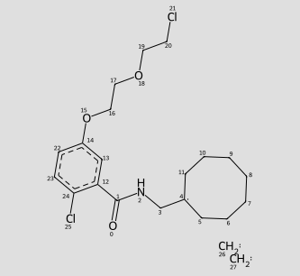 O=C(NC[C]1CCCCCCC1)c1cc(OCCOCCCl)ccc1Cl.[CH2].[CH2]